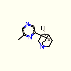 Cc1cncc([C@@H]2CN3CCC2CC3)n1